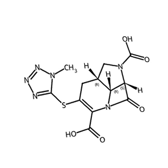 Cn1nnnc1SC1=C(C(=O)O)N2C(=O)[C@@H]3[C@H]2[C@H](C1)CN3C(=O)O